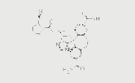 N#CC1CCCN1C(=O)CNCCC1(c2nnc[nH]2)c2ccc(C(N)=O)cc2CCc2cc(C(N)=O)ccc21